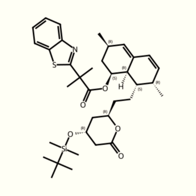 C[C@H]1C=C2C=C[C@H](C)[C@H](CC[C@@H]3C[C@@H](O[Si](C)(C)C(C)(C)C)CC(=O)O3)[C@H]2[C@@H](OC(=O)C(C)(C)c2nc3ccccc3s2)C1